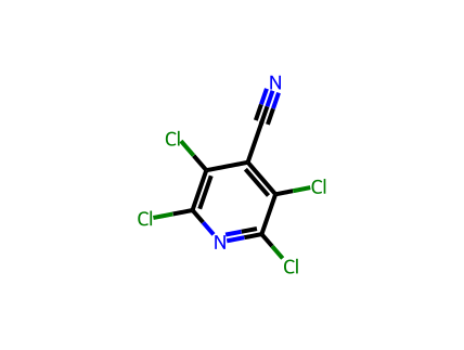 N#Cc1c(Cl)c(Cl)nc(Cl)c1Cl